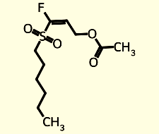 CCCCCCS(=O)(=O)/C(F)=C\COC(C)=O